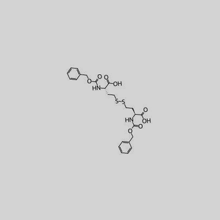 O=C(N[C@@H](CCSSCC[C@H](NC(=O)OCc1ccccc1)C(=O)O)C(=O)O)OCc1ccccc1